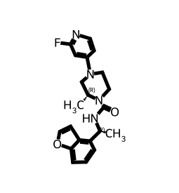 C[C@@H]1CN(c2ccnc(F)c2)CCN1C(=O)N[C@H](C)c1cccc2occc12